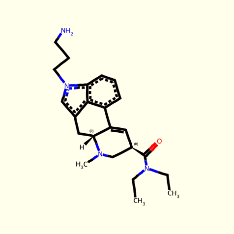 CCN(CC)C(=O)[C@@H]1C=C2c3cccc4c3c(cn4CCCN)C[C@H]2N(C)C1